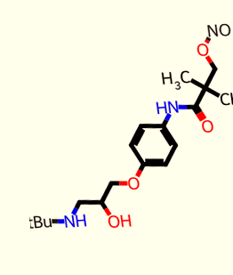 CC(C)(C)NCC(O)COc1ccc(NC(=O)C(C)(C)CO[N+](=O)[O-])cc1